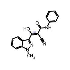 Cn1nc(/C(O)=C(\C#N)C(=O)Nc2ccccc2)c2ccccc21